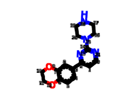 c1cc(-c2ccc3c(c2)OCCO3)nc(N2CCNCC2)n1